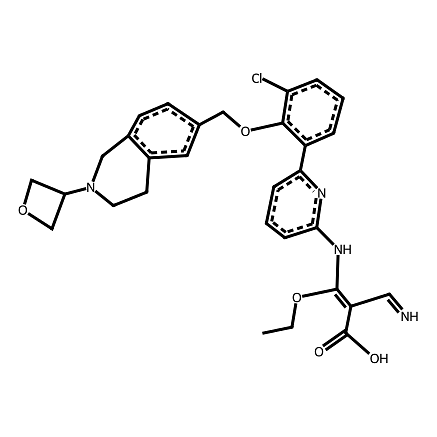 CCO/C(Nc1cccc(-c2cccc(Cl)c2OCc2ccc3c(c2)CCN(C2COC2)C3)n1)=C(/C=N)C(=O)O